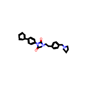 O=C1CN(CCc2ccc(CN3CCCC3)cc2)C(=O)N1c1ccc(-c2ccccc2)cc1